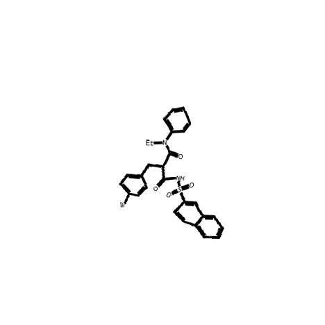 CCN(C(=O)C(Cc1ccc(Br)cc1)C(=O)NS(=O)(=O)c1ccc2ccccc2c1)c1ccccc1